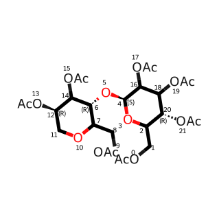 CC(=O)OCC1O[C@@H](O[C@@H]2C(COC(C)=O)OC[C@@H](OC(C)=O)C2OC(C)=O)C(OC(C)=O)C(OC(C)=O)[C@@H]1OC(C)=O